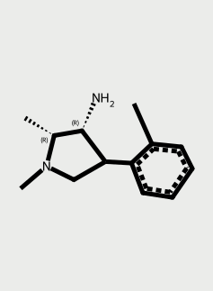 Cc1ccccc1C1CN(C)[C@H](C)[C@@H]1N